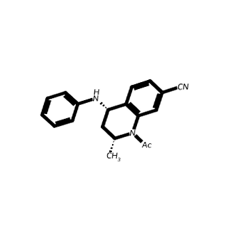 CC(=O)N1c2cc(C#N)ccc2[C@@H](Nc2ccccc2)C[C@H]1C